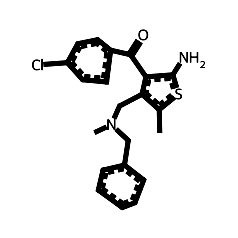 Cc1sc(N)c(C(=O)c2ccc(Cl)cc2)c1CN(C)Cc1ccccc1